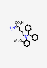 COc1ccccc1N(CCCC[C@@H](N)C(=O)O)C(c1ccccc1)c1ccccc1